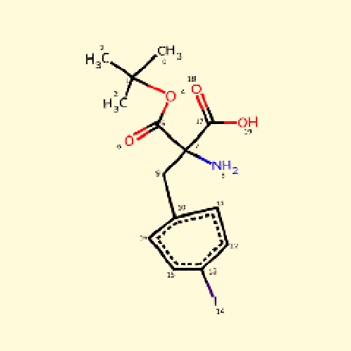 CC(C)(C)OC(=O)C(N)(Cc1ccc(I)cc1)C(=O)O